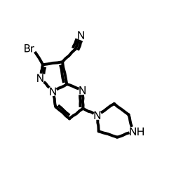 N#Cc1c(Br)nn2ccc(N3CCNCC3)nc12